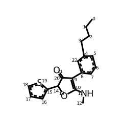 CCCCc1cccc(C2=C(NC)OC(c3cccs3)C2=O)c1